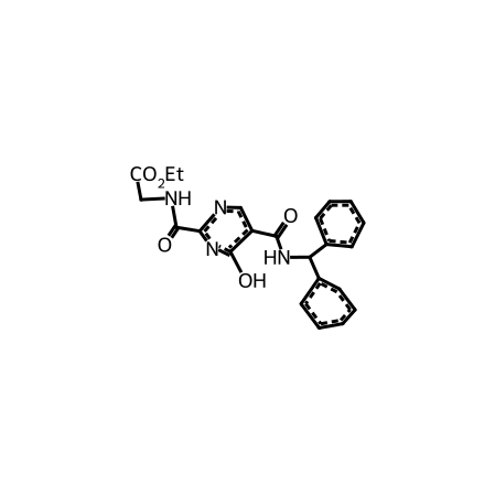 CCOC(=O)CNC(=O)c1ncc(C(=O)NC(c2ccccc2)c2ccccc2)c(O)n1